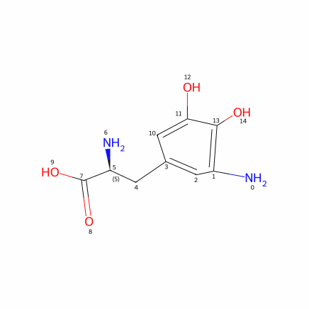 Nc1cc(C[C@H](N)C(=O)O)cc(O)c1O